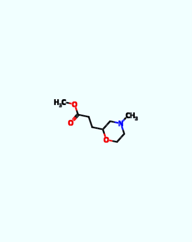 COC(=O)CCC1CN(C)CCO1